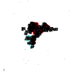 CC(=O)NC1(C[C@H]2CN(S(=O)(=O)c3cccc(C(F)(F)F)c3)c3cc(-c4cc(F)cc(OC(F)F)c4)ccc3O2)CCOCC1